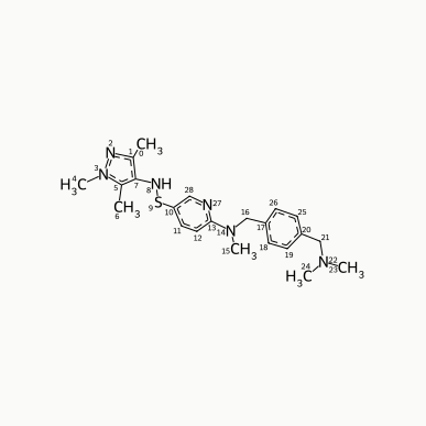 Cc1nn(C)c(C)c1NSc1ccc(N(C)Cc2ccc(CN(C)C)cc2)nc1